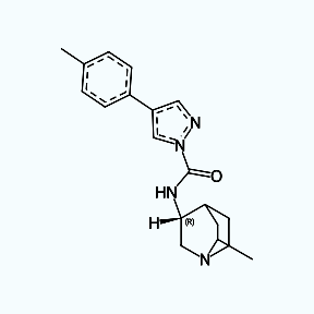 Cc1ccc(-c2cnn(C(=O)N[C@H]3CN4CCC3CC4C)c2)cc1